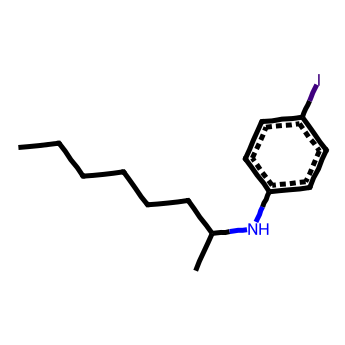 CCCCCCC(C)Nc1ccc(I)cc1